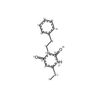 CSc1cc(=O)n(CCc2ccccc2)c(=O)[nH]1